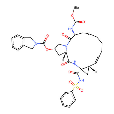 CC(C)(C)OC(=O)N[C@H]1CCCCC/C=C/[C@@H]2C[C@@]2(C(=O)NS(=O)(=O)c2ccccc2)NC(=O)[C@@H]2C[C@@H](OC(=O)N3Cc4ccccc4C3)CN2C1=O